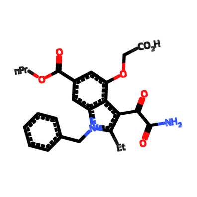 CCCOC(=O)c1cc(OCC(=O)O)c2c(C(=O)C(N)=O)c(CC)n(Cc3ccccc3)c2c1